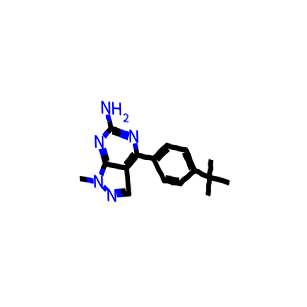 Cn1ncc2c(-c3ccc(C(C)(C)C)cc3)nc(N)nc21